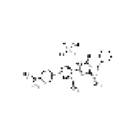 COc1cc(N2CCC(N(C)C)CC2)ccc1-c1nc2c(c(C3CCCCC3)nn2C)c(=O)[nH]1.CS(=O)(=O)O